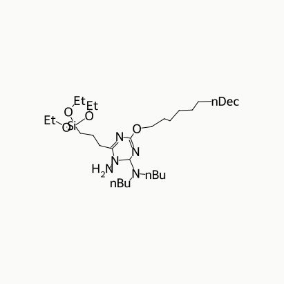 CCCCCCCCCCCCCCCCOC1=NC(N(CCCC)CCCC)N(N)C(CCC[Si](OCC)(OCC)OCC)=N1